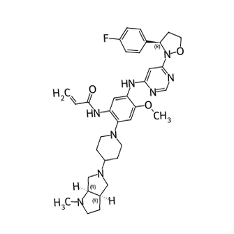 C=CC(=O)Nc1cc(Nc2cc(N3OCC[C@@H]3c3ccc(F)cc3)ncn2)c(OC)cc1N1CCC(N2C[C@H]3CCN(C)[C@H]3C2)CC1